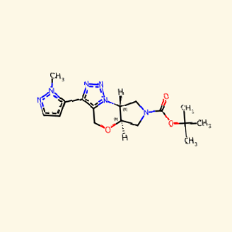 Cn1nccc1-c1nnn2c1CO[C@@H]1CN(C(=O)OC(C)(C)C)C[C@H]12